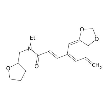 C=C/C=C(/C=C/C(=O)N(CC)CC1CCCO1)\C=C1/COCO1